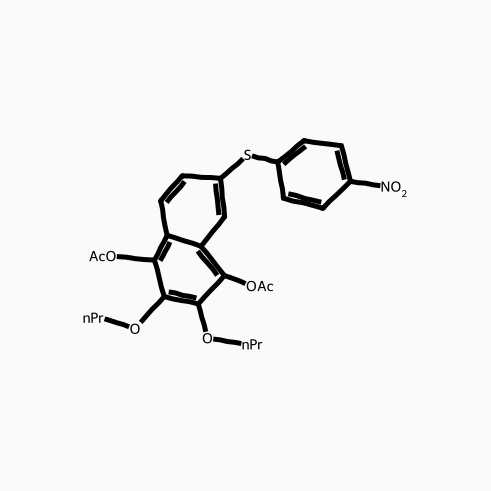 CCCOc1c(OCCC)c(OC(C)=O)c2cc(Sc3ccc([N+](=O)[O-])cc3)ccc2c1OC(C)=O